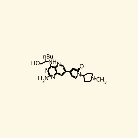 CCCC[C@H](CO)Nc1nc(N)nc2cc(-c3ccn(C4CCN(C)CC4)c(=O)c3)cnc12